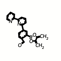 C=C1OB(c2cc(-c3cccc(-c4ccccn4)n3)ccc2C=O)OC1=C